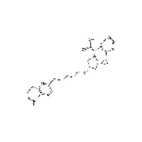 O=C(O)C(c1ccccc1C1CC1)N1CC[C@H](OCCCCCc2ccc3c(n2)CCCN3)C1